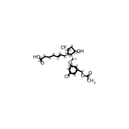 CC(=O)OCc1cc(Cl)cc(OC[C@@H]2[C@@H](CC=CCCCC(=O)O)[C@H](Cl)C[C@H]2O)c1